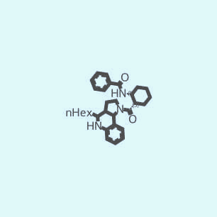 CCCCCCC1Nc2ccccc2C2C1CCN2C(=O)[C@H]1CCCC[C@H]1NC(=O)c1ccccc1